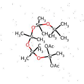 CC(=O)O[Si](C)(OC(C)=O)O[Si](C)(C)O[Si](C)(C)O[Si](C)(C)O[Si](C)(C)C